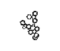 c1ccc2c(c1)-c1ccc(N(c3ccc4oc5ccccc5c4c3)c3cccc4c3-c3ccccc3C43C4CC5CC(C4)CC3C5)cc1C21CCCCC1